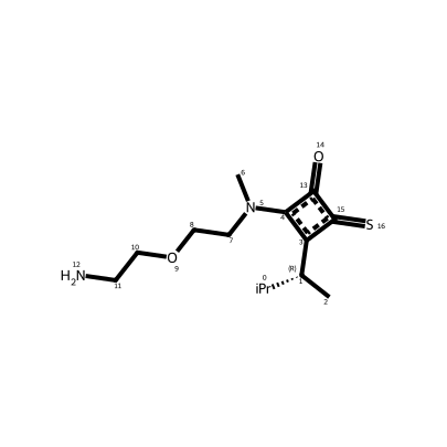 CC(C)[C@@H](C)c1c(N(C)CCOCCN)c(=O)c1=S